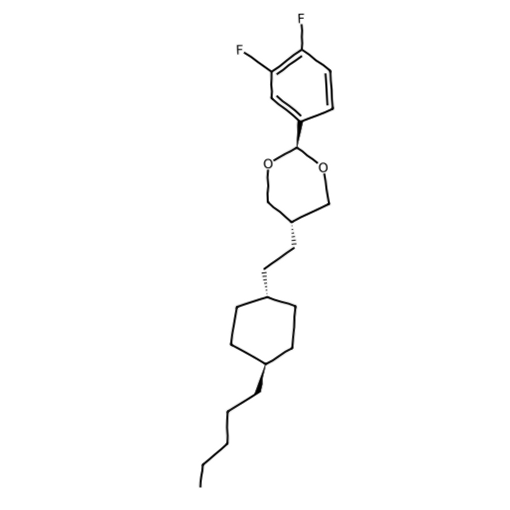 CCCCC[C@H]1CC[C@H](CC[C@H]2CO[C@H](c3ccc(F)c(F)c3)OC2)CC1